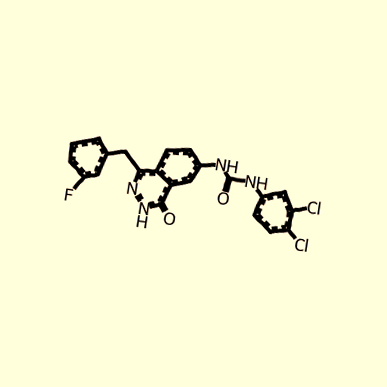 O=C(Nc1ccc(Cl)c(Cl)c1)Nc1ccc2c(Cc3cccc(F)c3)n[nH]c(=O)c2c1